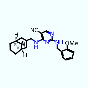 COc1ccccc1CNc1ncc(C#N)c(NCC2C[C@H]3CCC[C@@H](C2)[C@@H]3C)n1